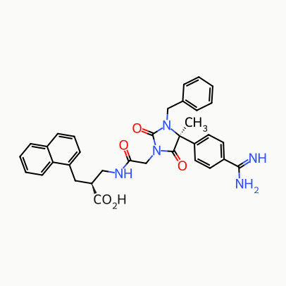 C[C@]1(c2ccc(C(=N)N)cc2)C(=O)N(CC(=O)NC[C@H](Cc2cccc3ccccc23)C(=O)O)C(=O)N1Cc1ccccc1